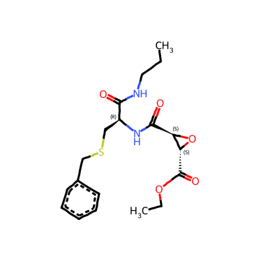 CCCNC(=O)[C@H](CSCc1ccccc1)NC(=O)[C@H]1O[C@@H]1C(=O)OCC